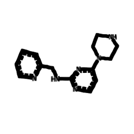 c1ccc(CNc2nccc(N3CCNCC3)n2)nc1